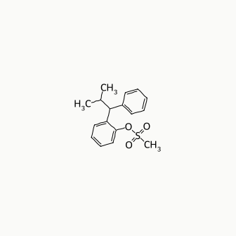 CC(C)C(c1ccccc1)c1ccccc1OS(C)(=O)=O